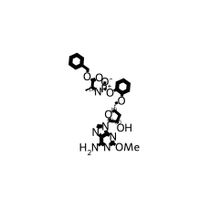 COc1nc(N)c2ncn([C@@H]3O[C@H](COc4ccccc4O[P+]([O-])=N[C@@H](C)C(=O)OCc4ccccc4)C[C@H]3O)c2n1